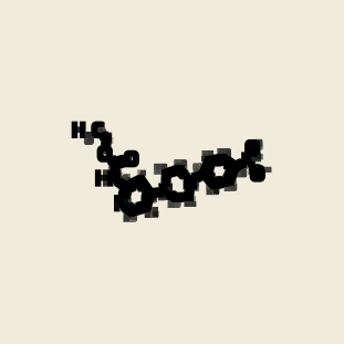 CCOC(=O)Nc1cc(N2CCN(c3ccc([N+](=O)[O-])cc3)CC2)ccn1